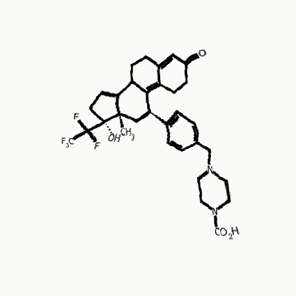 C[C@]12C[C@H](c3ccc(CN4CCN(C(=O)O)CC4)cc3)C3=C4CCC(=O)C=C4CCC3C1CC[C@]2(O)C(F)(F)C(F)(F)F